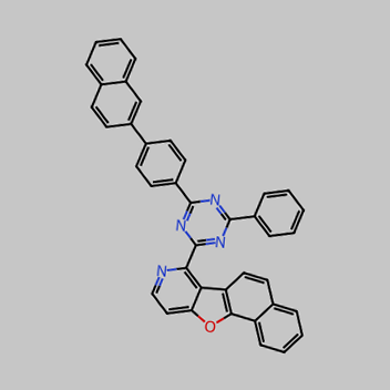 c1ccc(-c2nc(-c3ccc(-c4ccc5ccccc5c4)cc3)nc(-c3nccc4oc5c6ccccc6ccc5c34)n2)cc1